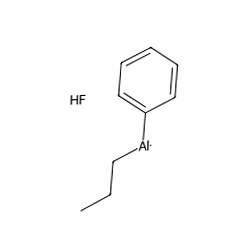 CC[CH2][Al][c]1ccccc1.F